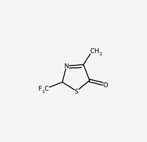 CC1=NC(C(F)(F)F)SC1=O